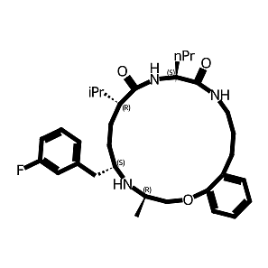 CCC[C@@H]1NC(=O)[C@@H](C(C)C)CC[C@@H](Cc2cccc(F)c2)N[C@H](C)COc2ccccc2CCCNC1=O